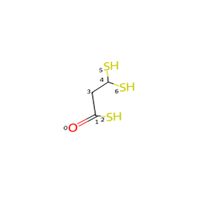 O=C(S)CC(S)S